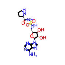 Nc1ncnc2c1ncn2[C@@H]1O[C@H](CNS(=O)(=O)NC(=O)[C@@H]2CCCN2)C(O)[C@@H]1O